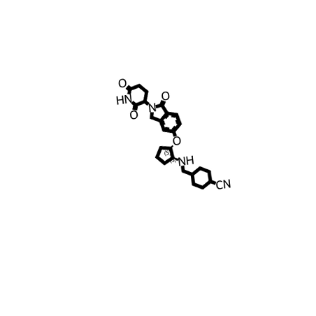 N#CC1CCC(CN[C@H]2CCC[C@@H]2Oc2ccc3c(c2)CN(C2CCC(=O)NC2=O)C3=O)CC1